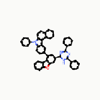 c1ccc(C2=NC(c3cc(-c4ccc5c(c4)c4c6ccccc6ccc4n5-c4ccccc4)c4c(c3)oc3ccccc34)NC(c3ccccc3)=N2)cc1